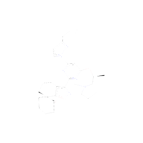 C[C@H](Oc1cc(-n2ccc(CC(=O)O)n2)nc(-c2noc3c2CCC[C@@]32CCCCC2=O)n1)[C@@H]1CCCN1C